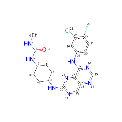 CCNC(=O)NC1CCC(Nc2ncc3ncnc(Nc4ccc(F)c(Cl)c4)c3n2)CC1